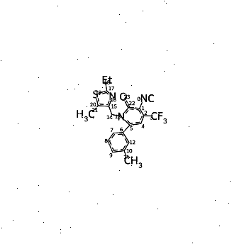 [C-]#[N+]c1c(C(F)(F)F)cc(-c2cccc(C)c2)n(Cc2nc(CC)sc2C)c1=O